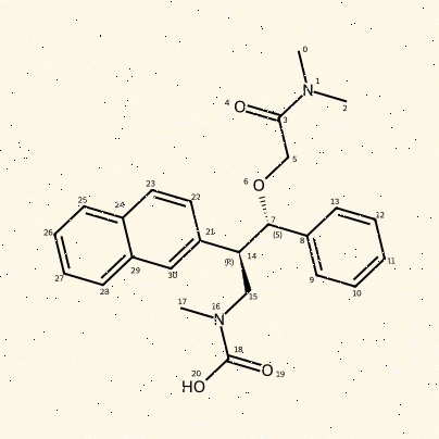 CN(C)C(=O)CO[C@H](c1ccccc1)[C@@H](CN(C)C(=O)O)c1ccc2ccccc2c1